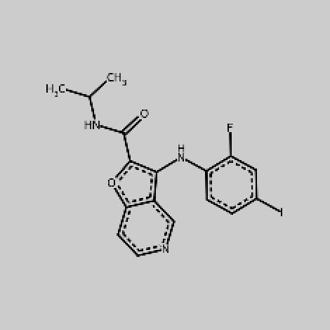 CC(C)NC(=O)c1oc2ccncc2c1Nc1ccc(I)cc1F